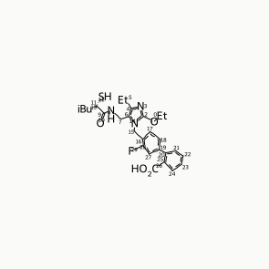 CCOc1nc(CC)c(CNC(=O)[C@@H](S)[C@H](C)CC)n1Cc1ccc(-c2ccccc2C(=O)O)cc1F